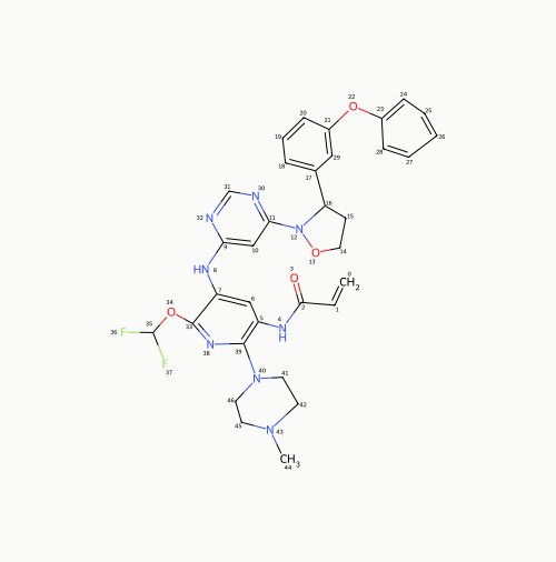 C=CC(=O)Nc1cc(Nc2cc(N3OCCC3c3cccc(Oc4ccccc4)c3)ncn2)c(OC(F)F)nc1N1CCN(C)CC1